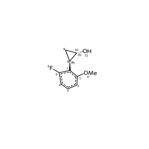 COc1cccc(F)c1[C@H]1C[C@@H]1O